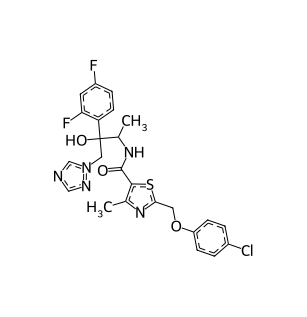 Cc1nc(COc2ccc(Cl)cc2)sc1C(=O)NC(C)C(O)(Cn1cncn1)c1ccc(F)cc1F